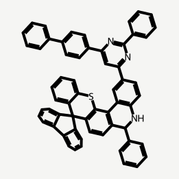 c1ccc(-c2ccc(-c3cc(-c4ccc5c(c4)-c4c(ccc6c4Sc4ccccc4C64c6ccccc6-c6ccccc64)C(c4ccccc4)N5)nc(-c4ccccc4)n3)cc2)cc1